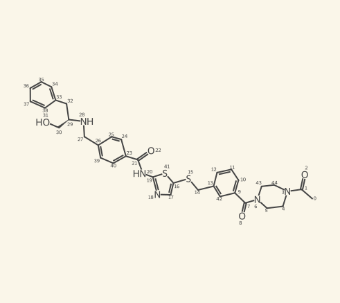 CC(=O)N1CCN(C(=O)c2cccc(CSc3cnc(NC(=O)c4ccc(CN[C@@H](CO)Cc5ccccc5)cc4)s3)c2)CC1